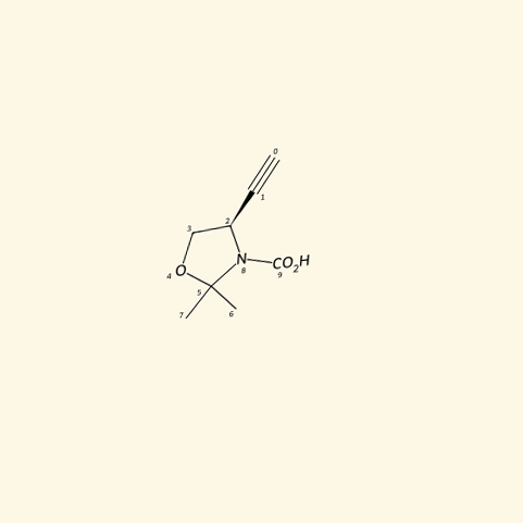 C#C[C@@H]1COC(C)(C)N1C(=O)O